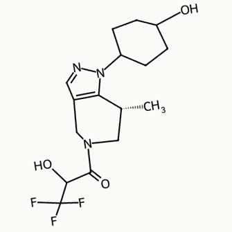 C[C@@H]1CN(C(=O)C(O)C(F)(F)F)Cc2cnn(C3CCC(O)CC3)c21